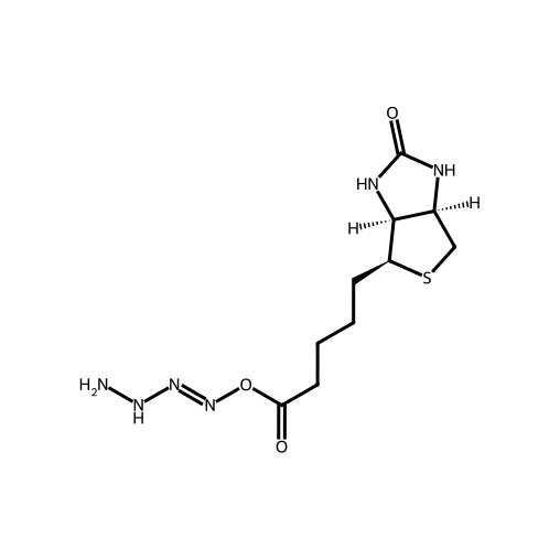 NNN=NOC(=O)CCCC[C@@H]1SC[C@@H]2NC(=O)N[C@@H]21